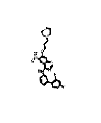 O=[N+]([O-])c1cc2c(Nc3cccc(-c4ccc(F)cc4F)c3)ncnc2cc1OCCCN1CCOCC1